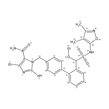 CCCc1nc(CC)c(C(N)=O)n1Cc1ccc(-c2ccccc2C(OCC)S(=O)(=O)Nc2onc(C)c2C)cc1